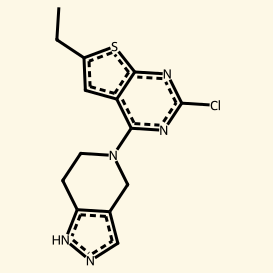 CCc1cc2c(N3CCc4[nH]ncc4C3)nc(Cl)nc2s1